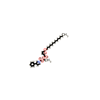 CCCCCCCCCCCCCCOc1ccc(C(=O)OC(C)OC(=O)N2CCC(c3ccccc3)C2)o1